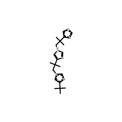 CC(C)(Cn1cnc(C(C)(C)C)c1)C1=C[SH](CC(C)(C)c2cocn2)C=N1